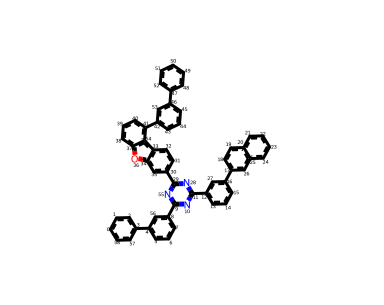 c1ccc(-c2cccc(-c3nc(-c4cccc(-c5ccc6ccccc6c5)c4)nc(-c4ccc5c(c4)oc4cccc(-c6cccc(-c7ccccc7)c6)c45)n3)c2)cc1